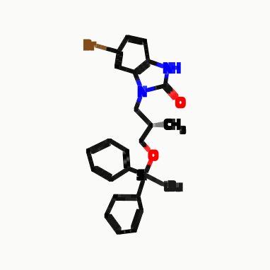 C[C@H](CO[Si](c1ccccc1)(c1ccccc1)C(C)(C)C)Cn1c(=O)[nH]c2ccc(Br)cc21